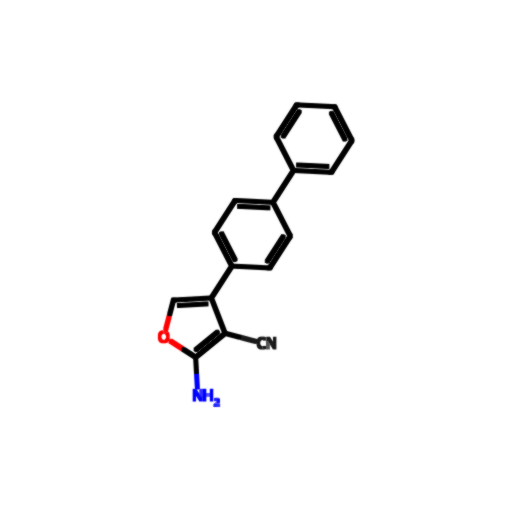 N#Cc1c(-c2ccc(-c3ccccc3)cc2)coc1N